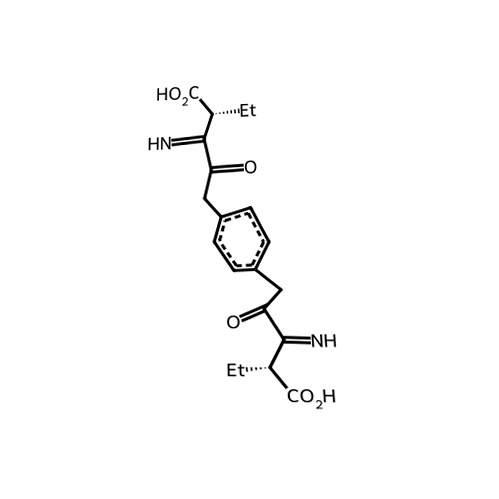 CC[C@H](C(=N)C(=O)Cc1ccc(CC(=O)C(=N)[C@@H](CC)C(=O)O)cc1)C(=O)O